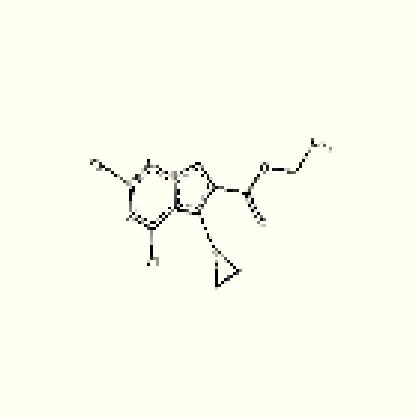 CCOC(=O)c1cn2nc(Cl)nc(Cl)c2c1C1CC1